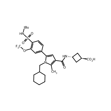 Cc1c(C(=O)N[C@H]2C[C@H](C(=O)O)C2)cc(-c2ccc(S(=O)(=O)NC(C)(C)C)c(OC(F)(F)F)c2)n1CC1CCCCC1